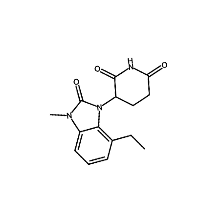 CCc1cccc2c1n(C1CCC(=O)NC1=O)c(=O)n2C